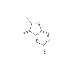 C=C1c2cc(Cl)ccc2OC1C